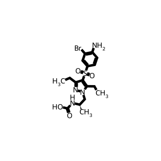 CCc1nn(C[C@H](C)NC(=O)O)c(CC)c1S(=O)(=O)c1ccc(N)c(Br)c1